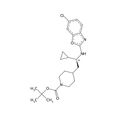 CC(C)(C)OC(=O)N1CCC(C[C@H](Nc2nc3ccc(Cl)cc3o2)C2CC2)CC1